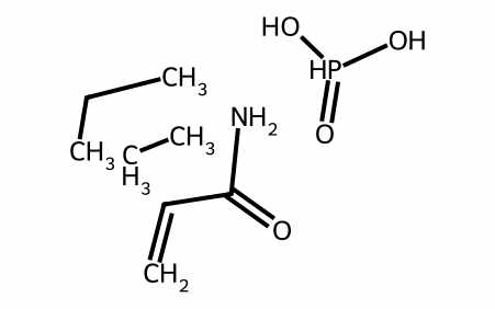 C=CC(N)=O.CC.CCC.O=[PH](O)O